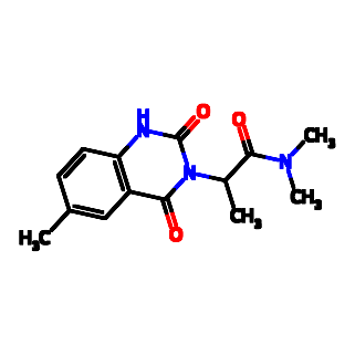 Cc1ccc2[nH]c(=O)n(C(C)C(=O)N(C)C)c(=O)c2c1